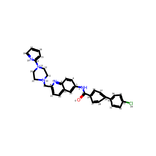 O=C(Nc1ccc2nc(CN3CCN(c4ccccn4)CC3)ccc2c1)c1ccc(-c2ccc(Cl)cc2)cc1